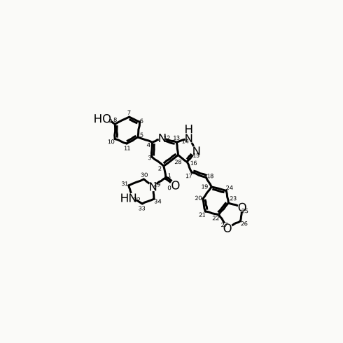 O=C(c1cc(-c2ccc(O)cc2)nc2[nH]nc(C=Cc3ccc4c(c3)OCO4)c12)N1CCNCC1